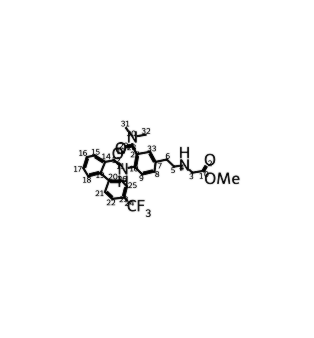 COC(=O)CNCCc1ccc(NC(=O)c2ccccc2-c2ccc(C(F)(F)F)cc2)c(C(=O)N(C)C)c1